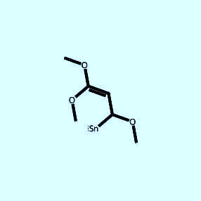 COC(=C[CH]([Sn])OC)OC